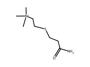 C[N+](C)(C)CCSCCC(N)=O